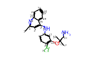 Cc1cc(Nc2ccc(Cl)c(OC(C)(C)CN)c2)c2ccccc2n1